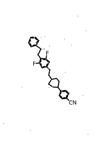 C[C@H](Cc1c(F)cc(CCC2CCC(c3ccc(C#N)cc3)CC2)cc1F)c1ccccc1